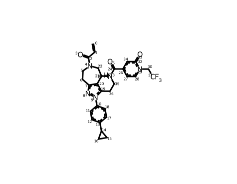 C=CC(=O)N1CCc2nn(-c3ccc(C4CC4)cc3)c3c2[C@H](C1)N(C(=O)c1ccn(CC(F)(F)F)c(=O)c1)CC3